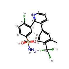 Cc1cc(-c2cccnc2-c2cc(S(N)(=O)=O)ccc2F)ccc1C(F)(F)F